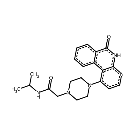 CC(C)NC(=O)CN1CCN(c2ccnc3[nH]c(=O)c4ccccc4c23)CC1